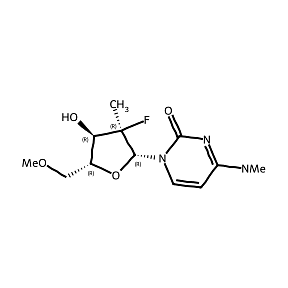 CNc1ccn([C@@H]2O[C@H](COC)[C@@H](O)[C@@]2(C)F)c(=O)n1